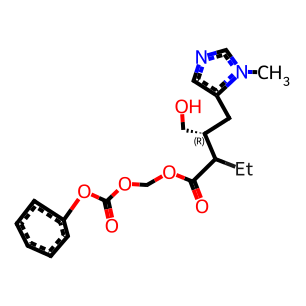 CCC(C(=O)OCOC(=O)Oc1ccccc1)[C@H](CO)Cc1cncn1C